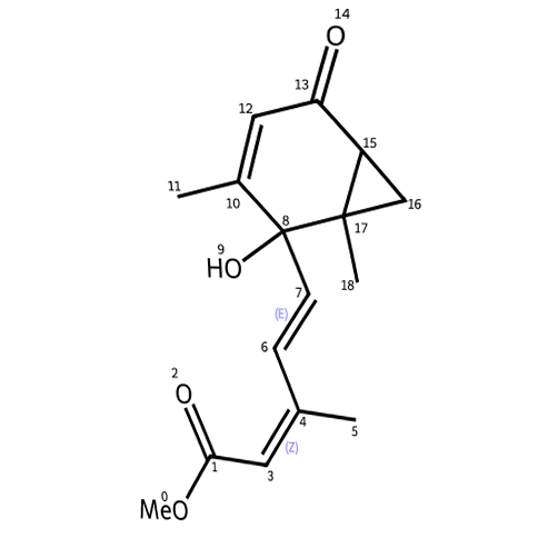 COC(=O)/C=C(C)\C=C\C1(O)C(C)=CC(=O)C2CC21C